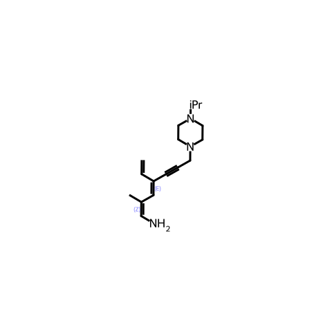 C=C/C(C#CCN1CCN(C(C)C)CC1)=C\C(C)=C/N